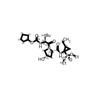 C=CC1CC1(NC(=O)[C@@H]1C[C@H](O)CN1C(=O)[C@@H](NC(=O)OC1CCCC1)C(C)(C)C)P(=O)(OCC)OCC